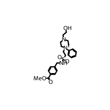 COC(=O)c1ccc(CNS(=O)(=O)CC[N+]2(c3ccccc3)CCN(CCO)CC2)cc1